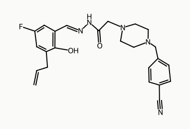 C=CCc1cc(F)cc(C=NNC(=O)CN2CCN(Cc3ccc(C#N)cc3)CC2)c1O